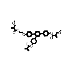 C=C(C)C(=O)OC1CCC(c2cc(-c3ccc(OC(=O)C(=C)COC)cc3)ccc2-c2ccc(OCCOC(=O)C(=C)COC)cc2)CC1